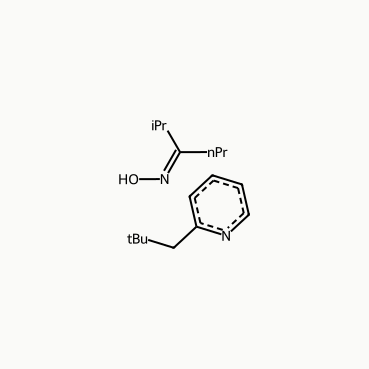 CC(C)(C)Cc1ccccn1.CCCC(=NO)C(C)C